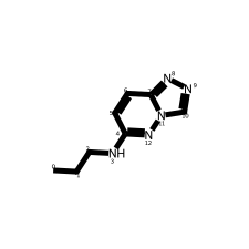 CCCNc1ccc2nncn2n1